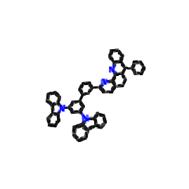 c1ccc(-c2c3ccccc3nc3c2ccc2ccc(-c4cccc(-c5cc(-n6c7ccccc7c7ccccc76)cc(-n6c7ccccc7c7ccccc76)c5)c4)nc23)cc1